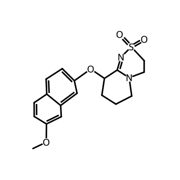 COc1ccc2ccc(OC3CCCN4CCS(=O)(=O)N=C34)cc2c1